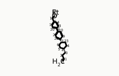 C=CCC[C@H]1CC[C@H](c2ccc(-c3ccc(COCC)cc3)cc2)CC1